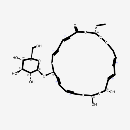 CC[C@@H]1CCC/C=C/C=C/[C@H](O)C[C@@H](O)C/C=C\C=C\[C@@H](O[C@@H]2O[C@H](CO)[C@@H](O)[C@H](O)[C@H]2O)C/C=C/C=C\C(=O)O1